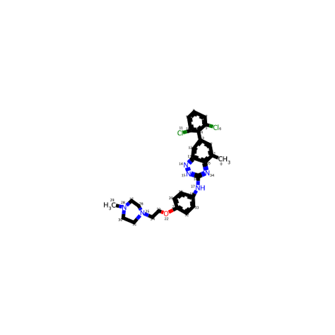 Cc1cc(-c2c(Cl)cccc2Cl)cc2nnc(Nc3ccc(OCCN4CCN(C)CC4)cc3)nc12